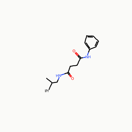 CC(C)C(C)CNC(=O)CCC(=O)Nc1ccccc1